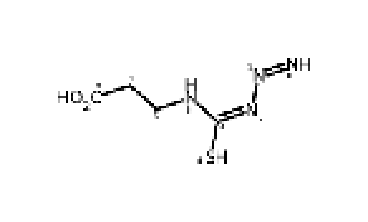 N=N/N=C(/S)NCCC(=O)O